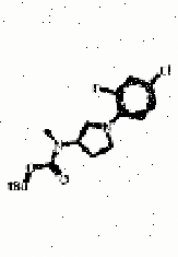 CN(C(=O)OC(C)(C)C)[C@@H]1CCN(c2ccc(Cl)cc2F)C1